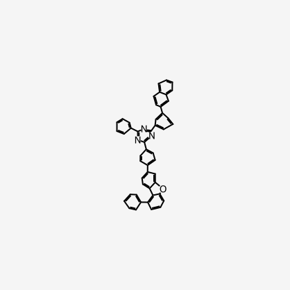 c1ccc(-c2nc(-c3ccc(-c4ccc5c(c4)oc4cccc(-c6ccccc6)c45)cc3)nc(-c3cccc(-c4ccc5ccccc5c4)c3)n2)cc1